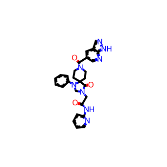 O=C(CN1CN(c2ccccc2)C2(CCN(C(=O)c3cnc4[nH]ncc4c3)CC2)C1=O)Nc1ccccn1